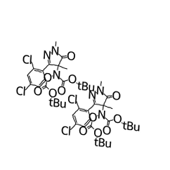 CN1N=C(c2ccc(Cl)cc2Cl)C(C)(N(OC(=O)OC(C)(C)C)C(=O)OC(C)(C)C)C1=O.CN1N=C(c2ccc(Cl)cc2Cl)C(C)(N(OC(=O)OC(C)(C)C)C(=O)OC(C)(C)C)C1=O